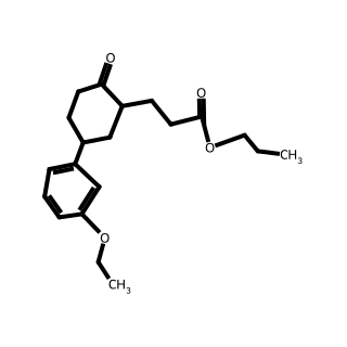 CCCOC(=O)CCC1CC(c2cccc(OCC)c2)CCC1=O